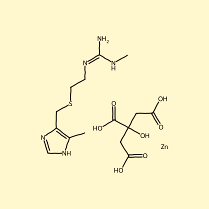 CNC(N)=NCCSCc1nc[nH]c1C.O=C(O)CC(O)(CC(=O)O)C(=O)O.[Zn]